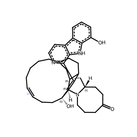 O=C1CCCN2[C@@H](CC1)C[C@]13CN4CCCC/C=C\CC[C@](O)(C=C(c5nccc6c5[nH]c5c(O)cccc56)C1CC4)[C@H]23